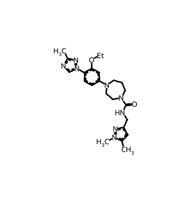 CCOc1cc(N2CCCN(C(=O)NCc3cc(C)n(C)n3)CC2)ccc1-n1cnc(C)n1